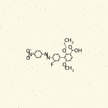 CCCOc1c(C(=O)O)ccc(OC)c1-c1ccc(N=Nc2ccc([N+](=O)[O-])cc2)c(F)c1